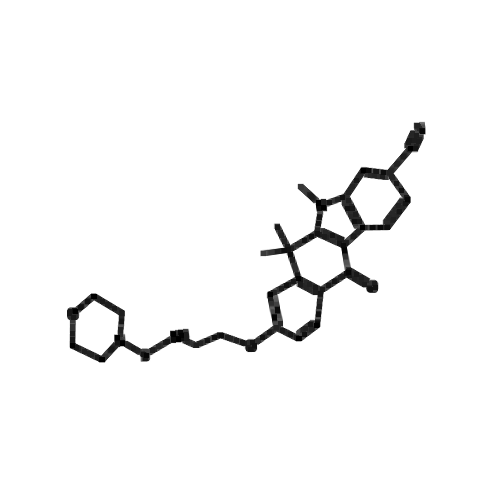 Cn1c2c(c3ccc(C#N)cc31)C(=O)c1ccc(OCCNSN3CCOCC3)cc1C2(C)C